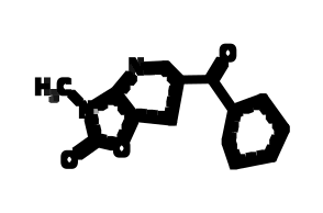 Cn1c(=O)oc2cc(C(=O)c3ccccc3)cnc21